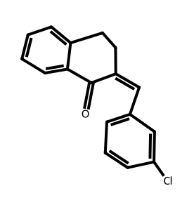 O=C1/C(=C\c2cccc(Cl)c2)CCc2ccccc21